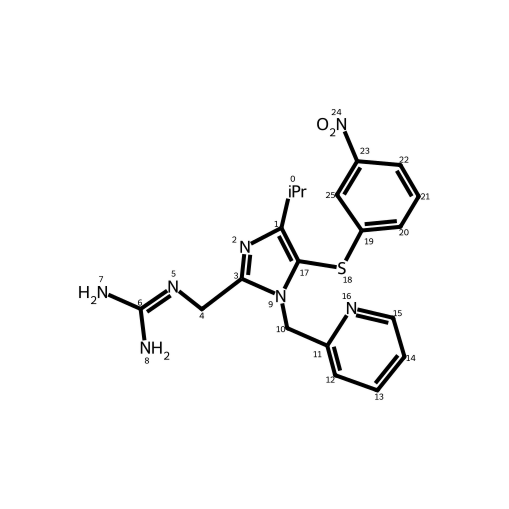 CC(C)c1nc(CN=C(N)N)n(Cc2ccccn2)c1Sc1cccc([N+](=O)[O-])c1